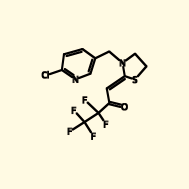 O=C(C=C1SCCN1Cc1ccc(Cl)nc1)C(F)(F)C(F)(F)F